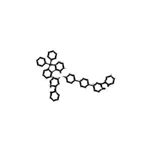 c1ccc(C2(c3ccccc3)c3ccccc3-c3c(N(c4ccc(-c5ccc(-c6ccc7sc8ccccc8c7c6)cc5)cc4)c4ccc5oc6ccccc6c5c4)cccc32)cc1